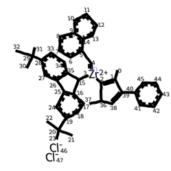 CC1=[C](/[Zr+2](=[CH]/c2cccc3ccccc23)[CH]2c3ccc(C(C)(C)C)cc3-c3cc(C(C)(C)C)ccc32)C(C)C=C1c1ccccc1.[Cl-].[Cl-]